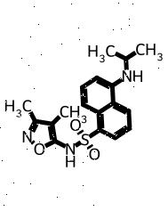 Cc1noc(NS(=O)(=O)c2cccc3c(NC(C)C)cccc23)c1C